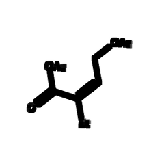 CCC(=CCOC(C)=O)C(=O)OC(C)=O